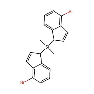 C[Si](C)(C1C=Cc2c(Br)cccc21)C1C=Cc2c(Br)cccc21